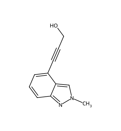 Cn1cc2c(C#CCO)cccc2n1